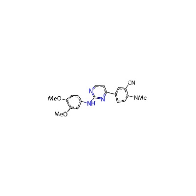 CNc1ccc(-c2ccnc(Nc3ccc(OC)c(OC)c3)n2)cc1C#N